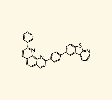 c1ccc(-c2ccc3ccc4ccc(-c5ccc(-c6ccc7sc8ncccc8c7c6)cc5)nc4c3n2)cc1